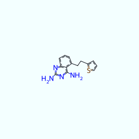 Nc1nc(N)c2c(CCc3cccs3)cccc2n1